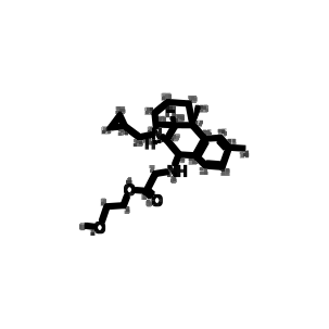 COCCOC(=O)CNC1c2ccc(C)cc2[C@@]2(C)CCCN(CC3CC3)[C@H]1[C@@H]2C